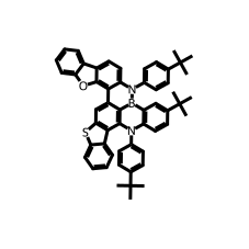 CC(C)(C)c1ccc(N2B3c4cc(C(C)(C)C)ccc4N(c4ccc(C(C)(C)C)cc4)c4c3c(cc3sc5ccccc5c43)-c3c2ccc2c3oc3ccccc32)cc1